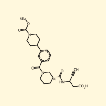 C#CC(CC(=O)O)NC(=O)[C@@H]1CCCN(C(=O)c2cccc(C3CCN(C(=O)OC(C)(C)C)CC3)c2)C1